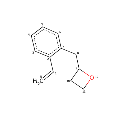 C=Cc1ccccc1CC1CCO1